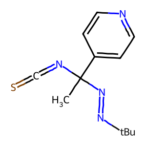 CC(C)(C)N=NC(C)(N=C=S)c1ccncc1